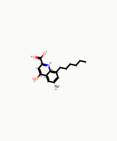 CCCCCCc1cccc2c(O)cc(C(=O)[O-])nc12.[Na+]